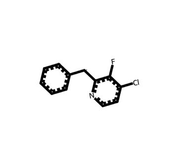 Fc1c(Cl)ccnc1[CH]c1ccccc1